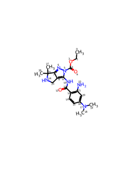 CCOC(=O)n1nc2c(c1NC(=O)c1ccc(N(C)C)cc1N)CNC2(C)C